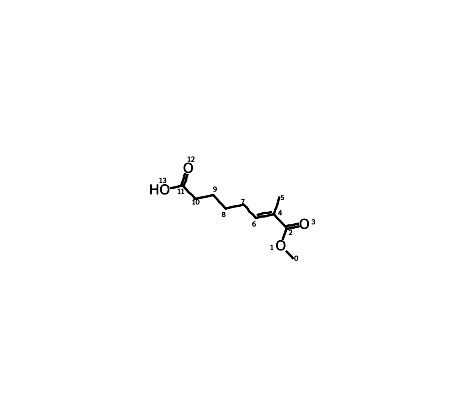 COC(=O)C(C)=CCCCCC(=O)O